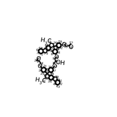 CC1CC(c2ccc(OCC(O)COc3ccc(C4(c5ccc(OCC6CO6)cc5)CC(C)c5cc6c(cc54)Cc4ccccc4-6)cc3)cc2)(c2ccc(OCC3CO3)cc2)c2cc3c(cc21)-c1ccccc1C3